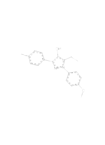 CCc1c(O)c(-c2ccc(C)cc2)nn1-c1ccc(OC)cc1